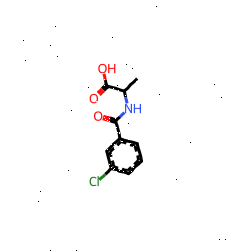 CC(NC(=O)c1cccc(Cl)c1)C(=O)O